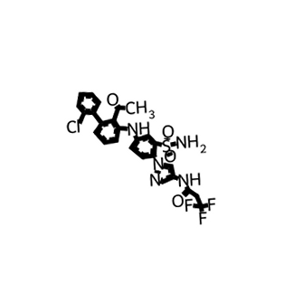 CC(=O)c1c(Nc2ccc(-n3cc(NC(=O)CC(F)(F)F)cn3)c(S(N)(=O)=O)c2)cccc1-c1ccccc1Cl